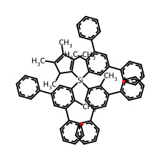 CC1=C(C)C(C)C([Si](c2cc(-c3ccccc3)cc(-c3ccccc3)c2C)(c2cc(-c3ccccc3)cc(-c3ccccc3)c2C)c2cc(-c3ccccc3)cc(-c3ccccc3)c2C)=C1C